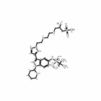 CC(COCCOCCn1ncc(-c2nn(C3CCCCO3)c3ccc(O[Si](C)(C)C(C)(C)C)cc23)n1)CS(=O)(=O)O